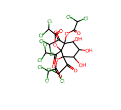 O=C(OC1(C(=O)C(Cl)Cl)C(O)C(O)C(O)C(OC(=O)C(Cl)Cl)(C(=O)C(Cl)Cl)C1(OC(=O)C(Cl)Cl)C(=O)C(Cl)Cl)C(Cl)Cl